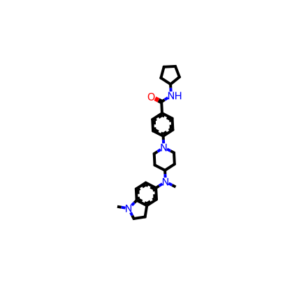 CN1CCc2cc(N(C)C3CCN(c4ccc(C(=O)NC5CCCC5)cc4)CC3)ccc21